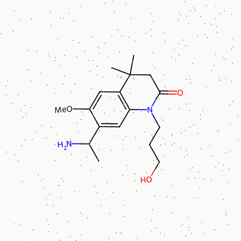 COc1cc2c(cc1C(C)N)N(CCCO)C(=O)CC2(C)C